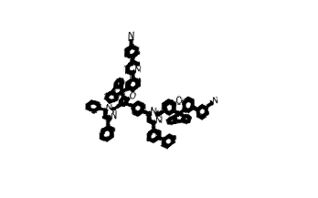 N#Cc1ccc(-c2ccc(-c3ccc4c(c3)C3(c5ccccc5-c5ccccc53)c3cc(-c5nc(-c6ccccc6)cc(-c6ccccc6)n5)cc(-c5ccc(-c6cc(-c7cccc(-c8ccccc8)c7)nc(-c7ccc8c(c7)C7(c9cc(-c%10cccc(C#N)c%10)ccc9O8)c8ccccc8-c8ccccc87)n6)cc5)c3O4)nc2)cc1